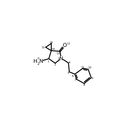 NC1CN(CCc2ccccc2)C(=O)C12CC2